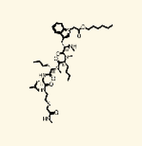 CCCCCCOC(=O)Cn1cc(C[C@H](NC)C(=O)N(C)[C@@H](CCCC)C(=O)N(C)[C@@H](CCCC)C(=O)N[C@@H](CC(C)C)C(=O)NCCSCC(=O)NC)c2ccccc21